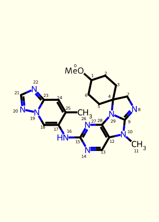 COC1CCC2(CC1)CN=C1N(C)c3cnc(Nc4cn5ncnc5cc4C)nc3N12